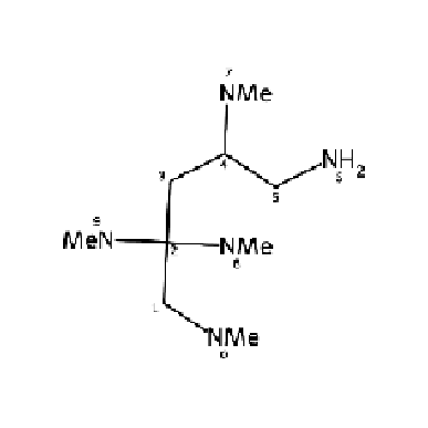 CNCC(CC(CN)NC)(NC)NC